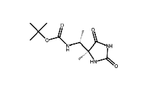 C[C@@H](NC(=O)OC(C)(C)C)[C@]1(C)NC(=O)NC1=O